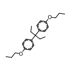 CCCOc1ccc(C(CC)(CC)c2ccc(OCCC)cc2)cc1